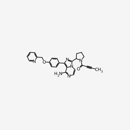 CC#CC(=O)N1CCCC1c1nc(-c2ccc(OCc3ccccn3)cc2)c2c(N)nccn12